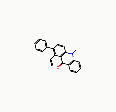 C=Cc1c(-c2ccccc2)ccc(N(C)C)c1C(=O)c1ccccc1